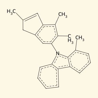 CC1=Cc2c(cc(-n3c4ccccc4c4cccc(C)c43)c(C)c2C)C1